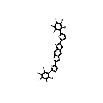 Fc1c(F)c(F)c(-c2ccc(-c3cc4cc5cc(-c6ccc(-c7c(F)c(F)c(F)c(F)c7F)s6)sc5cc4s3)s2)c(F)c1F